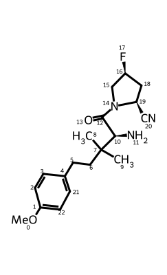 COc1ccc(CCC(C)(C)[C@H](N)C(=O)N2C[C@@H](F)C[C@H]2C#N)cc1